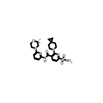 C[C@@H]1CN(c2cccc(NC(=O)c3ccc(S(N)(=O)=O)nc3N3CCC4(CC3)CC4)n2)CCO1